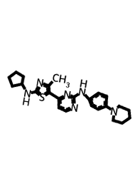 Cc1nc(NC2CCCC2)sc1-c1ccnc(Nc2ccc(N3CCCCC3)cc2)n1